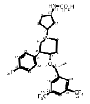 C[C@@H](O[C@H]1CCN(C2CC[C@@H](NC(=O)O)C2)C[C@@H]1c1ccc(F)cc1)c1cc(C(F)(F)F)cc(C(F)(F)F)c1